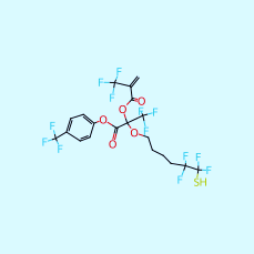 C=C(C(=O)OC(OCCCCC(F)(F)C(F)(F)S)(C(=O)Oc1ccc(C(F)(F)F)cc1)C(F)(F)F)C(F)(F)F